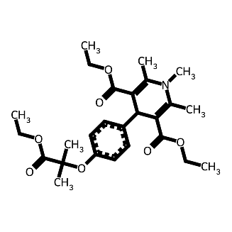 CCOC(=O)C1=C(C)N(C)C(C)=C(C(=O)OCC)C1c1ccc(OC(C)(C)C(=O)OCC)cc1